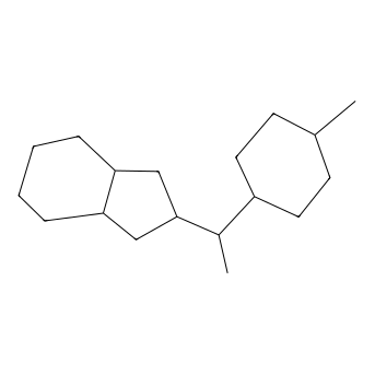 CC1CCC(C(C)C2CC3CCCCC3C2)CC1